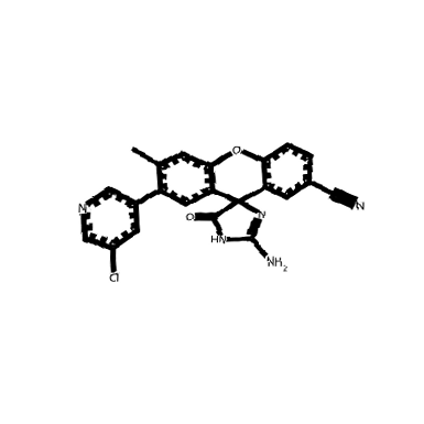 Cc1cc2c(cc1-c1cncc(Cl)c1)C1(N=C(N)NC1=O)c1cc(C#N)ccc1O2